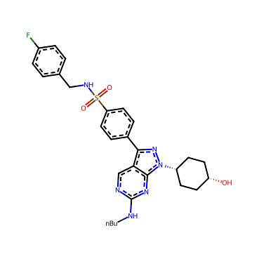 CCCCNc1ncc2c(-c3ccc(S(=O)(=O)NCc4ccc(F)cc4)cc3)nn([C@H]3CC[C@@H](O)CC3)c2n1